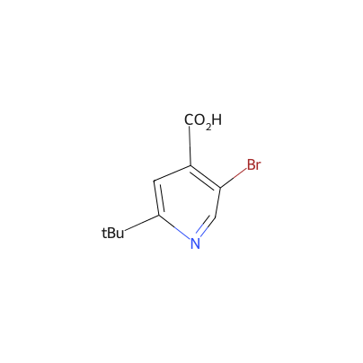 CC(C)(C)c1cc(C(=O)O)c(Br)cn1